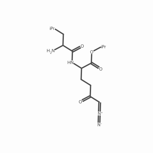 CC(C)CC(N)C(=O)NC(CCC(=O)C=[N+]=[N-])C(=O)OC(C)C